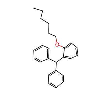 CCCCCCOc1ccccc1[C](c1ccccc1)c1ccccc1